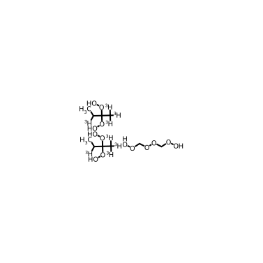 OOCOOCOO.[3H]C(C)C(OO)(OO)C([3H])([3H])[3H].[3H]C(C)C(OO)(OO)C([3H])([3H])[3H]